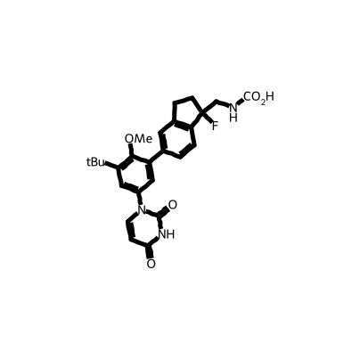 COc1c(-c2ccc3c(c2)CCC3(F)CNC(=O)O)cc(-n2ccc(=O)[nH]c2=O)cc1C(C)(C)C